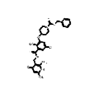 Cc1cc(=O)c(CNC(=O)c2cc(Cl)cc(OC3CCN(C(=O)OCc4ccccc4)CC3)c2C)c(C)[nH]1